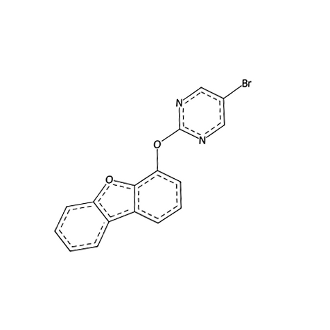 Brc1cnc(Oc2cccc3c2oc2ccccc23)nc1